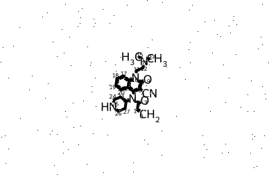 C=CC(=O)N(c1c(C#N)c(=O)n(CCN(C)C)c2ccccc12)C1CCNCC1